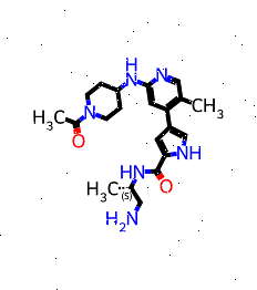 CC(=O)N1CCC(Nc2cc(-c3c[nH]c(C(=O)N[C@@H](C)CN)c3)c(C)cn2)CC1